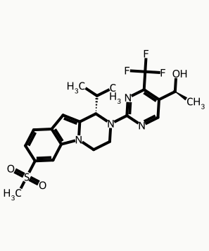 CC(C)[C@H]1c2cc3ccc(S(C)(=O)=O)cc3n2CCN1c1ncc([C@H](C)O)c(C(F)(F)F)n1